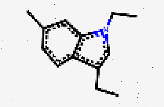 CCc1cn(CC)c2cc(C)ccc12